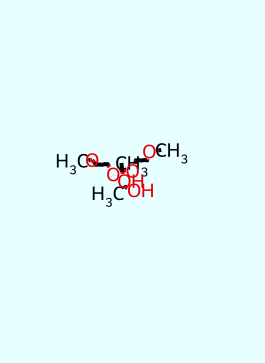 CCO.COCCOC(C)(O)OCCOC